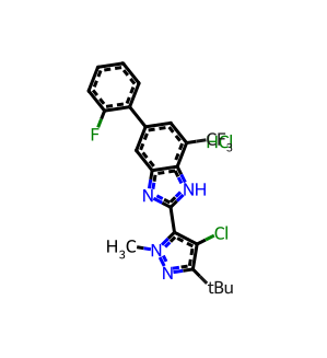 Cl.Cn1nc(C(C)(C)C)c(Cl)c1-c1nc2cc(-c3ccccc3F)cc(C(F)(F)F)c2[nH]1